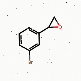 Brc1cccc(C2CO2)c1